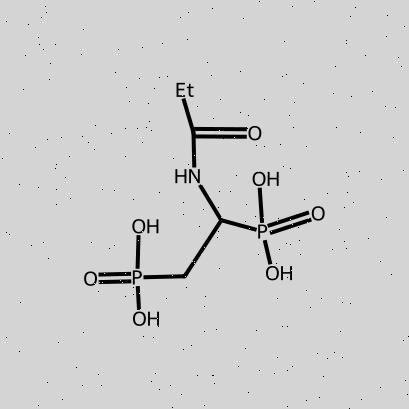 CCC(=O)NC(CP(=O)(O)O)P(=O)(O)O